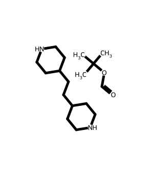 C1CC(CCC2CCNCC2)CCN1.CC(C)(C)OC=O